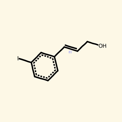 OC/C=C/c1cccc(I)c1